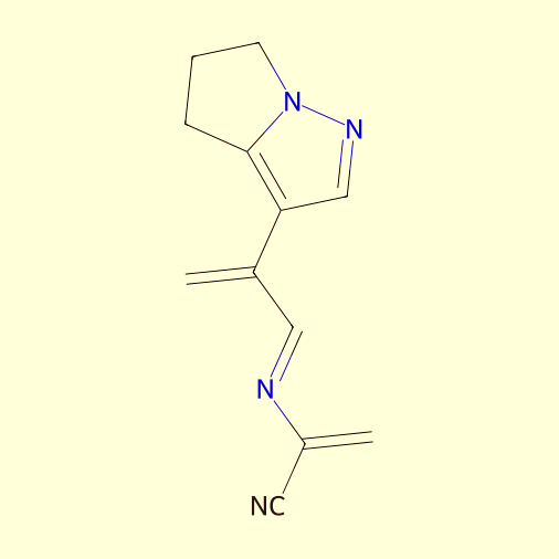 C=C(C#N)/N=C/C(=C)c1cnn2c1CCC2